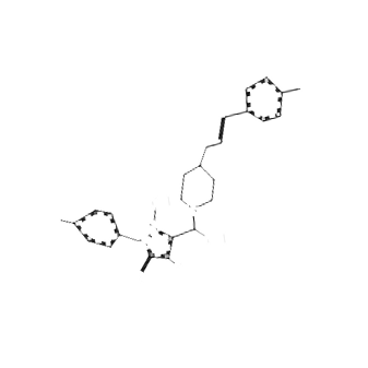 CC(c1c(Cl)c(=O)n(-c2ccc(F)cc2)n1C)N1CCC(CC=Cc2ccc(F)cc2)CC1